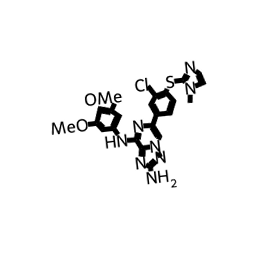 COc1cc(Nc2nc(-c3ccc(Sc4nccn4C)c(Cl)c3)cn3nc(N)nc23)cc(OC)c1